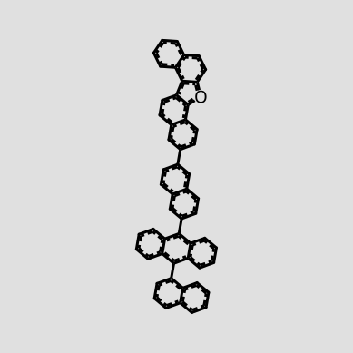 c1ccc2c(-c3c4ccccc4c(-c4ccc5cc(-c6ccc7c(ccc8c7oc7ccc9ccccc9c78)c6)ccc5c4)c4ccccc34)cccc2c1